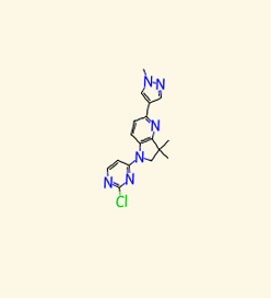 Cn1cc(-c2ccc3c(n2)C(C)(C)CN3c2ccnc(Cl)n2)cn1